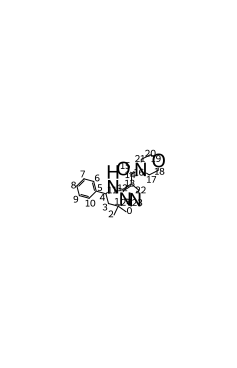 CC1(C)CC(c2ccccc2)Nc2c(C(=O)N3CCOCC3)cnn21